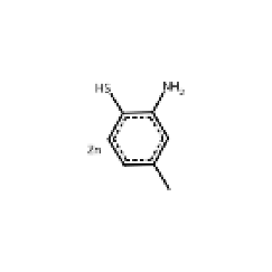 Cc1ccc(S)c(N)c1.[Zn]